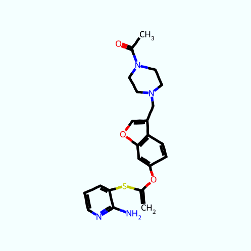 C=C(Oc1ccc2c(CN3CCN(C(C)=O)CC3)coc2c1)Sc1cccnc1N